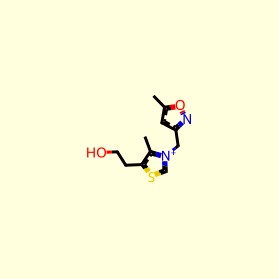 Cc1cc(C[n+]2csc(CCO)c2C)no1